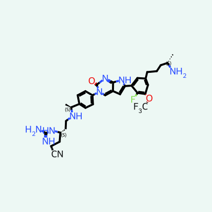 C[C@H](N)CCCc1cc(OC(F)(F)F)c(F)c(-c2cc3cn(-c4ccc([C@H](C)NCC[C@H](CCC#N)NC(=N)N)cc4)c(=O)nc3[nH]2)c1